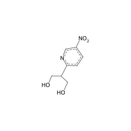 O=[N+]([O-])c1ccc(C(CO)CO)nc1